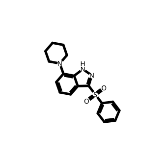 O=S(=O)(c1ccccc1)c1n[nH]c2c(N3CCCCC3)cccc12